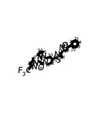 Cc1cc(C(F)(F)F)nn1C(C(=O)N1CCC(c2nc(C3=NOC(c4ccccc4)C3)cs2)CC1)n1cccn1